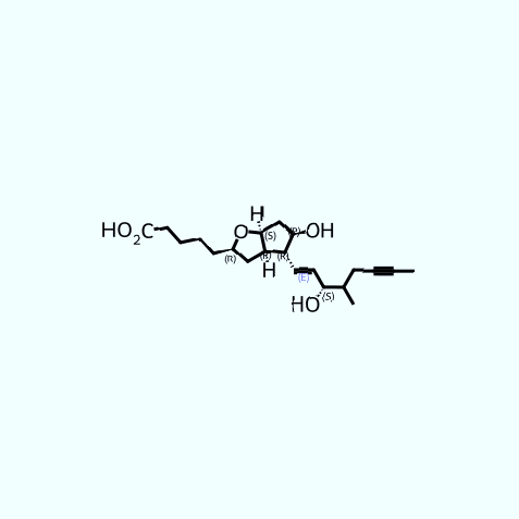 CC#CCC(C)[C@H](O)/C=C/[C@@H]1[C@H]2C[C@@H](CCCCC(=O)O)O[C@H]2C[C@H]1O